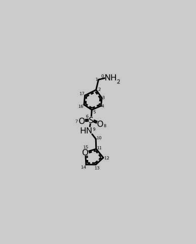 NCc1ccc(S(=O)(=O)NCc2ccco2)cc1